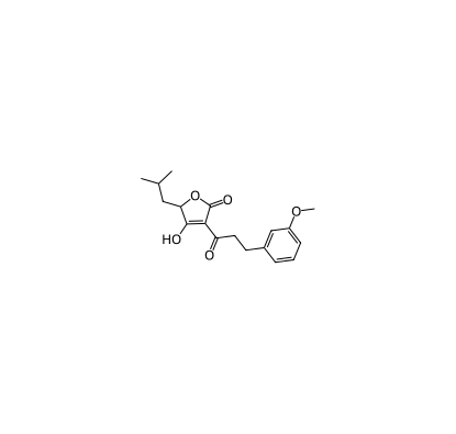 COc1cccc(CCC(=O)C2=C(O)C(CC(C)C)OC2=O)c1